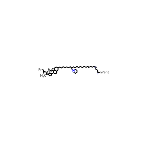 CCCCC/C=C\CC/C=C\CCCCCCCCCCCCC(CCCCCCCC1CC[C@@]2(C)C(=CCC3C4CCC([C@H](C)CCCC(C)C)[C@@]4(C)CCC32)C1)CN1CCCCC1